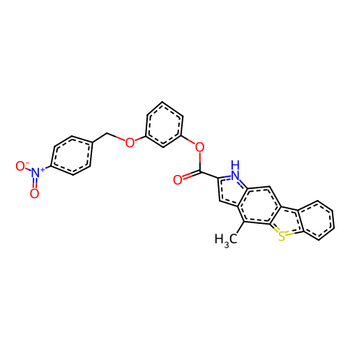 Cc1c2cc(C(=O)Oc3cccc(OCc4ccc([N+](=O)[O-])cc4)c3)[nH]c2cc2c1sc1ccccc12